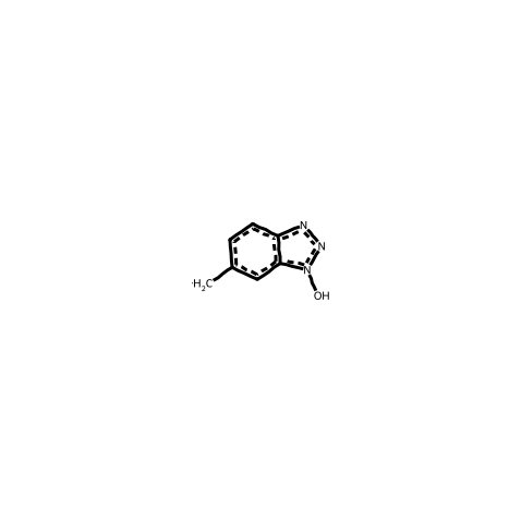 [CH2]c1ccc2nnn(O)c2c1